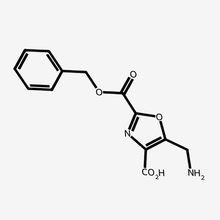 NCc1oc(C(=O)OCc2ccccc2)nc1C(=O)O